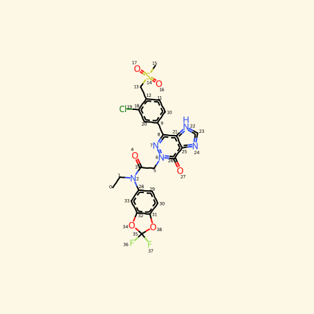 CCN(C(=O)Cn1nc(-c2ccc(CS(C)(=O)=O)c(Cl)c2)c2[nH]cnc2c1=O)c1ccc2c(c1)OC(F)(F)O2